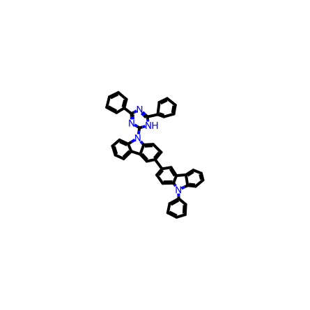 c1ccc(C2=NC(n3c4ccccc4c4cc(-c5ccc6c(c5)c5ccccc5n6-c5ccccc5)ccc43)NC(c3ccccc3)=N2)cc1